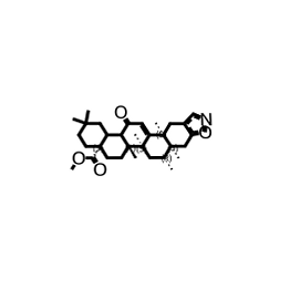 COC(=O)[C@]12CCC(C)(C)CC1C1C(=O)C=C3[C@@]4(C)Cc5cnoc5C[C@@]4(C)[C@H](C)C[C@@]3(C)[C@]1(C)CC2